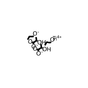 CC(O)C(=O)[O-].CC(O)C(=O)[O-].CCC[O-].CCC[O-].[Ti+4]